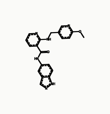 COc1ccc(CNc2ncccc2C(=O)Nc2ccc3[nH]ncc3c2)cn1